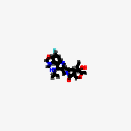 C=C1OCc2c(cc3n(c2=O)Cc2c-3nc3cc(F)c4c(c3c2NC(C)C)N(C)CO4)[C@@]1(O)CC